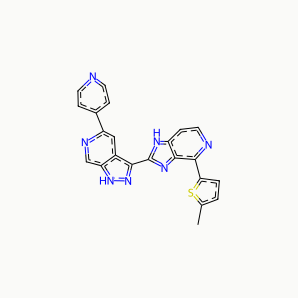 Cc1ccc(-c2nccc3[nH]c(-c4n[nH]c5cnc(-c6ccncc6)cc45)nc23)s1